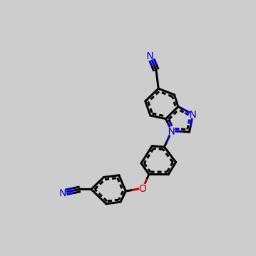 N#Cc1ccc(Oc2ccc(-n3cnc4cc(C#N)ccc43)cc2)cc1